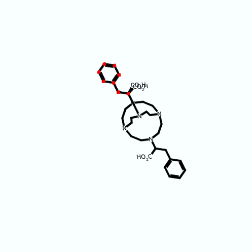 O=C(O)C(Cc1ccccc1)N1CCN2CCN(C(Cc3ccccc3)C(=O)O)CCN(CC1)CCN(C(Cc1ccccc1)C(=O)O)CC2